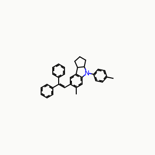 Cc1ccc(N2c3cc(C)c(C=C(c4ccccc4)c4ccccc4)cc3C3CCCC32)cc1